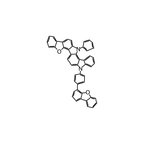 c1ccc(-n2c3ccc4c5ccccc5oc4c3c3ccc4c(c5ccccc5n4-c4ccc(-c5cccc6c5oc5ccccc56)cc4)c32)cc1